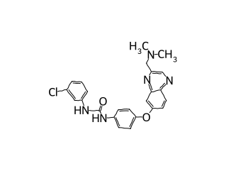 CN(C)Cc1cnc2ccc(Oc3ccc(NC(=O)Nc4cccc(Cl)c4)cc3)cc2n1